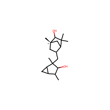 CC1C2CC2C(C)(CC2C[C@@]3(C)CC2C(C)(C)C3O)C1O